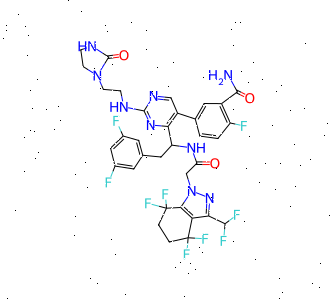 NC(=O)c1cc(-c2cnc(NCCN3CCNC3=O)nc2C(Cc2cc(F)cc(F)c2)NC(=O)Cn2nc(C(F)F)c3c2C(F)(F)CCC3(F)F)ccc1F